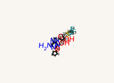 Nc1nc(OC2CCCC2)nc2c1ncn2[C@@H]1O[C@H](CSCC(F)(F)F)[C@@H](O)[C@H]1O